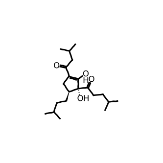 CC(C)CCC(=O)[C@]1(O)C(O)=C(C(=O)CC(C)C)C[C@@H]1CCC(C)C